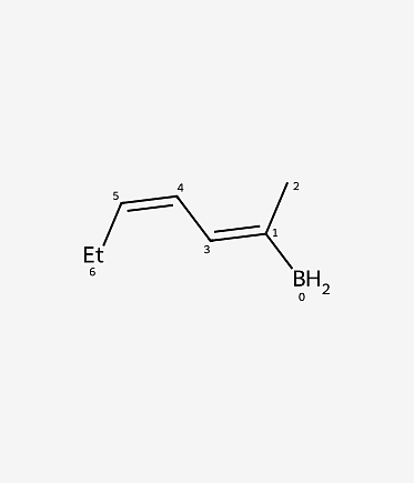 B/C(C)=C/C=C\CC